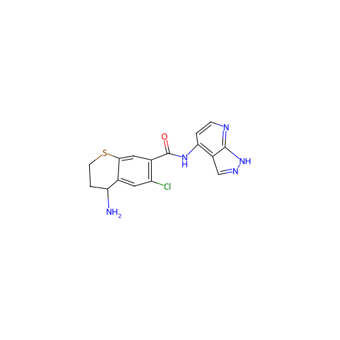 NC1CCSc2cc(C(=O)Nc3ccnc4[nH]ncc34)c(Cl)cc21